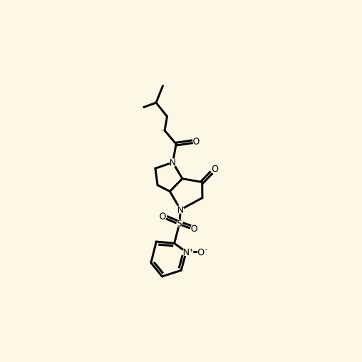 CC(C)C[CH]C(=O)N1CCC2C1C(=O)CN2S(=O)(=O)c1cccc[n+]1[O-]